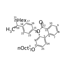 CCCCCCCCOc1ccc(-c2ccccc2C(=O)Oc2ccc(C(C)CCCCCC)cc2)cc1